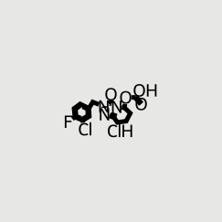 Cl.O=C(O)OC1CCCc2nn(Cc3ccc(F)c(Cl)c3)c(=O)n21